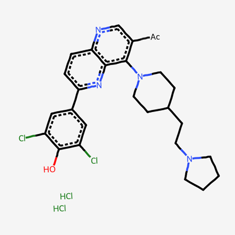 CC(=O)c1cnc2ccc(-c3cc(Cl)c(O)c(Cl)c3)nc2c1N1CCC(CCN2CCCC2)CC1.Cl.Cl